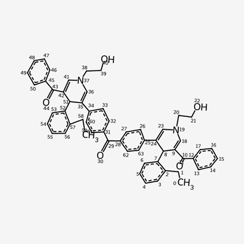 CCc1ccccc1C1C(C(=O)c2ccccc2)=CN(CCO)C=C1c1ccc(C(=O)c2ccc(C3=CN(CCO)C=C(C(=O)c4ccccc4)C3c3ccccc3CC)cc2)cc1